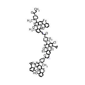 C=CC(=O)N1CCN(c2nc(=O)n(-c3c(C)ccc(/C=C/C(=O)N4CCN(c5nc(=O)n(-c6c(CC)cc(/C=C\C(=O)N7CCN(c8nc(=O)n(-c9c(C)cccc9C9CC9)c9nc(-c%10c(O)cccc%10F)c(F)cc89)[C@@H](C)C7)cc6CC)c6nc(C7CC7)c(Cl)cc56)[C@@H](C)C4)c3CC)c3nc(-c4c(O)cccc4F)c(F)cc23)[C@@H](C)C1